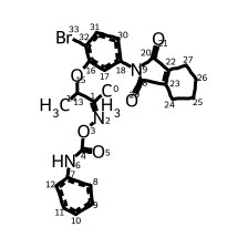 C/C(=N/OC(=O)Nc1ccccc1)C(C)Oc1cc(N2C(=O)C3=C(CCCC3)C2=O)ccc1Br